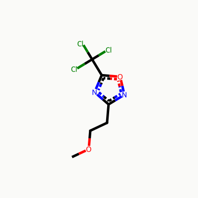 COCCc1noc(C(Cl)(Cl)Cl)n1